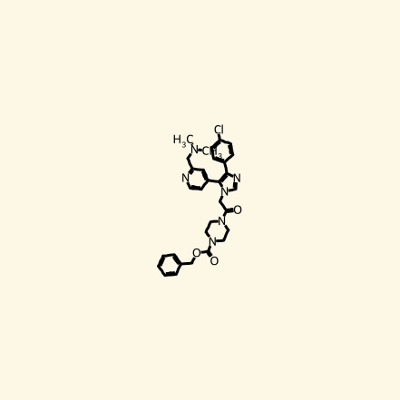 CN(C)Cc1cc(-c2c(-c3ccc(Cl)cc3)ncn2CC(=O)N2CCN(C(=O)OCc3ccccc3)CC2)ccn1